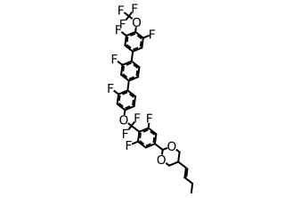 CC/C=C/C1COC(c2cc(F)c(C(F)(F)Oc3ccc(-c4ccc(-c5cc(F)c(OC(F)(F)F)c(F)c5)c(F)c4)c(F)c3)c(F)c2)OC1